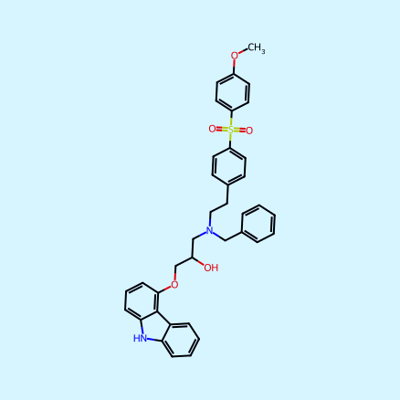 COc1ccc(S(=O)(=O)c2ccc(CCN(Cc3ccccc3)CC(O)COc3cccc4[nH]c5ccccc5c34)cc2)cc1